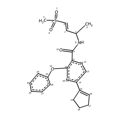 CC(C=CS(C)(=O)=O)NC(=O)c1ncc(C2=CCCC2)nc1Oc1ccccc1